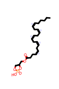 CCCCC/C=C\C/C=C\C/C=C\C/C=C\C/C=C\CCC(=O)OCC1COP(=O)(O)O1